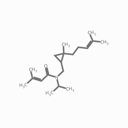 CC(C)=CCCC1(C)CC1CN(C(=O)C=C(C)C)C(C)C